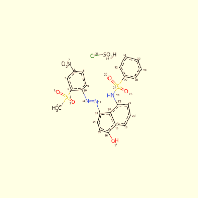 CS(=O)(=O)c1cc([N+](=O)[O-])ccc1N=Nc1ccc(O)c2cccc(NS(=O)(=O)c3ccccc3)c12.O=S(=O)(O)Cl